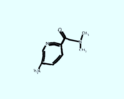 CN(C)C(=O)c1ccc(N)cn1